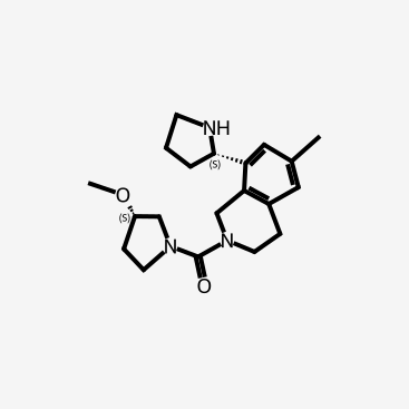 CO[C@H]1CCN(C(=O)N2CCc3cc(C)cc([C@@H]4CCCN4)c3C2)C1